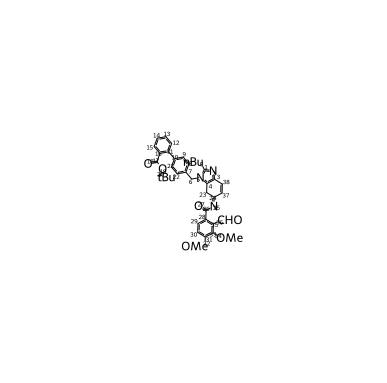 CCCCc1nc2c(n1Cc1ccc(-c3ccccc3C(=O)OC(C)(C)C)cc1)CC(=NC(=O)c1ccc(OC)c(OC)c1C=O)C=C2